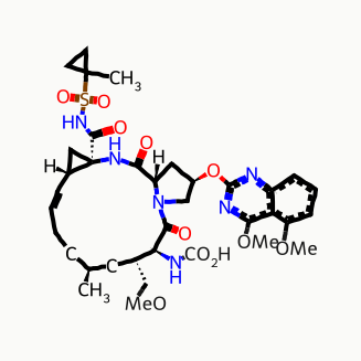 COC[C@@H]1C[C@@H](C)CCC=C[C@@H]2C[C@@]2(C(=O)NS(=O)(=O)C2(C)CC2)NC(=O)[C@@H]2C[C@@H](Oc3nc(OC)c4c(OC)cccc4n3)CN2C(=O)[C@H]1NC(=O)O